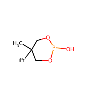 CC(C)C1(C)COP(O)OC1